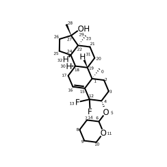 C[C@]12CC[C@H](OC3CCCCO3)C(F)(F)C1=CC[C@@H]1[C@@H]2CC[C@@]2(C)[C@H]1CC[C@]2(C)O